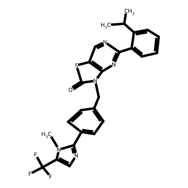 CC(C)c1ccccc1-c1ncc2sc(=O)n(Cc3ccc(-c4ncc(C(F)(F)F)n4C)cc3)c2n1